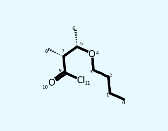 CCCCO[C@@H](C)[C@@H](C)C(=O)Cl